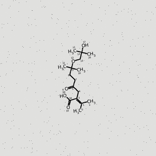 CC(C)=C(CC(=O)CCC(C)(C)OCC(C)(C)O)C(=O)O